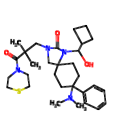 CN(C)C1(c2ccccc2)CCC2(CC1)CN(CC(C)(C)C(=O)N1CCSCC1)C(=O)N2C(O)C1CCC1